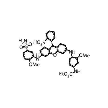 CCOC(=O)Nc1ccc(Nc2ccc3c(-c4ccccc4S(=O)(=O)O)c4ccc(Nc5cc(S(N)(=O)=O)ccc5OC)cc4[o+]c3c2)c(OC)c1